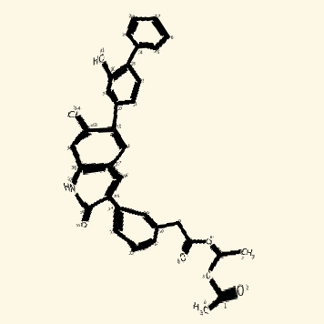 CC(=O)OC(C)OC(=O)Cc1cccc(-c2cc3cc(-c4ccc(-c5ccccc5)c(O)c4)c(Cl)cc3[nH]c2=O)c1